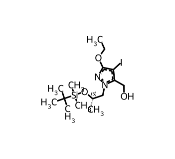 CCOc1nn(C[C@H](C)O[Si](C)(C)C(C)(C)C)c(CO)c1I